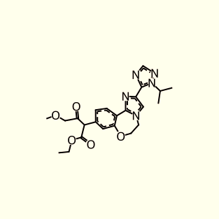 CCOC(=O)C(C(=O)COC)c1ccc2c(c1)OCCn1cc(-c3ncnn3C(C)C)nc1-2